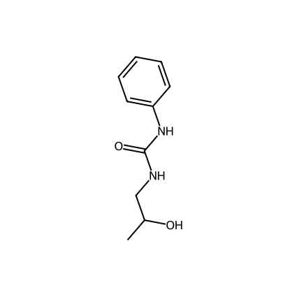 CC(O)CNC(=O)Nc1ccccc1